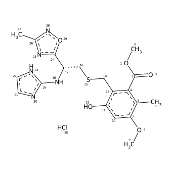 COC(=O)c1c(C)c(OC)cc(O)c1CSC[C@H](Nc1ncc[nH]1)c1nc(C)no1.Cl